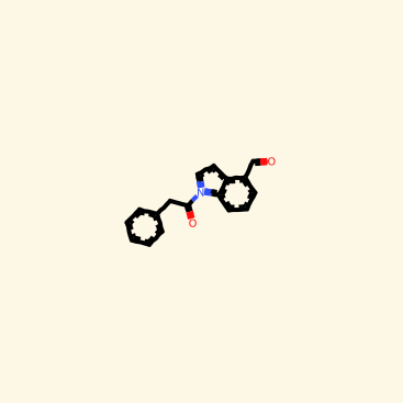 O=Cc1cccc2c1ccn2C(=O)Cc1ccccc1